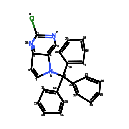 Clc1ncc2c(ccn2C(c2ccccc2)(c2ccccc2)c2ccccc2)n1